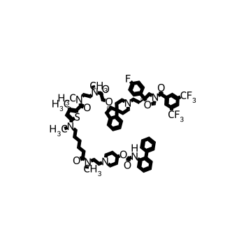 Cc1cc(N(C)CCCCCC(=O)N(C)CCN2CCC(OC(=O)Nc3ccccc3-c3ccccc3)CC2)sc1C(=O)N(C)CCN(C)C(=O)CO[C@H]1Cc2ccccc2C12CCN(CC[C@@]1(c3ccc(F)cc3)CN(C(=O)c3cc(C(F)(F)F)cc(C(F)(F)F)c3)CO1)CC2